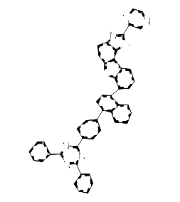 c1ccc(-c2nc(-c3ccccc3)nc(-c3ccc(-c4ccc(-c5cccc6c5oc5ccc7nc(-c8cnccn8)oc7c56)c5ccccc45)cc3)n2)cc1